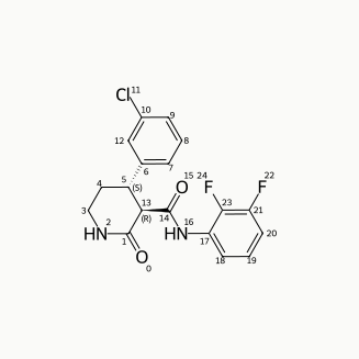 O=C1NCC[C@H](c2cccc(Cl)c2)[C@H]1C(=O)Nc1cccc(F)c1F